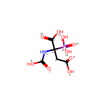 O=C(O)CC(NC(=O)O)(C(=O)O)P(=O)(O)O